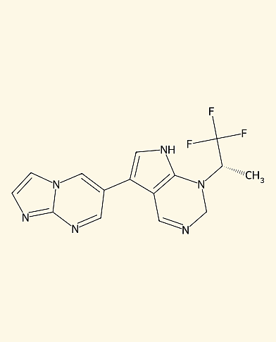 C[C@H](N1CN=Cc2c(-c3cnc4nccn4c3)c[nH]c21)C(F)(F)F